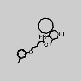 Cc1cccc(OCCCC(=O)NC2C(I)CNCC23CCCCCCCCC3)c1